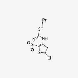 CC(C)CSC1=NS(=O)(=O)C2=C(CC(Cl)S2)N1